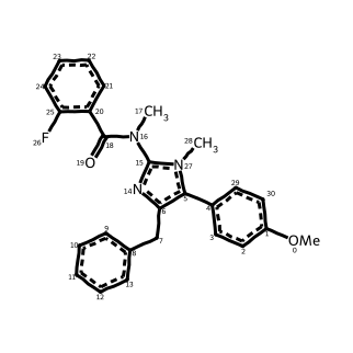 COc1ccc(-c2c(Cc3ccccc3)nc(N(C)C(=O)c3ccccc3F)n2C)cc1